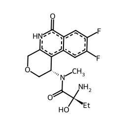 CC[C@@](N)(O)C(=O)N(C)[C@@H]1COCc2[nH]c(=O)c3cc(F)c(F)cc3c21